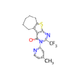 Cc1ccnc(-n2c(C(F)(F)F)nc3sc4c(c3c2=O)CCCCC4)c1